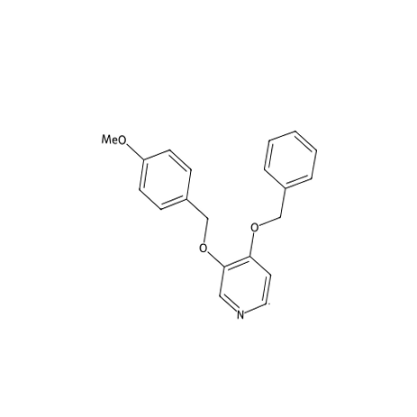 COc1ccc(COc2cn[c]cc2OCc2ccccc2)cc1